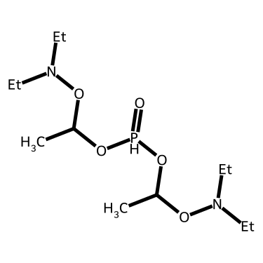 CCN(CC)OC(C)O[PH](=O)OC(C)ON(CC)CC